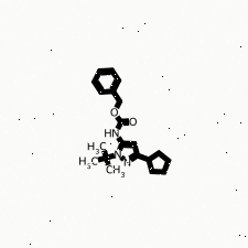 CC(C)(C)n1nc([C]2CCCC2)cc1NC(=O)OCc1ccccc1